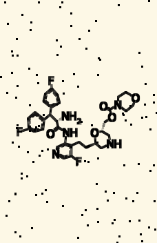 N[C@H](C(=O)Nc1cncc(F)c1CC[C@@H]1CNC[C@@H](COC(=O)N2CCOCC2)O1)C(c1ccc(F)cc1)c1ccc(F)cc1